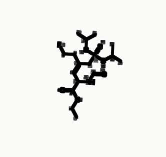 CCOC(=O)C(C=C(CCF)CP(=O)(OC(C)C)OC(C)C)NC=O